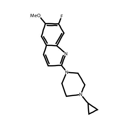 COc1cc2ccc(N3CCN(C4CC4)CC3)nc2cc1F